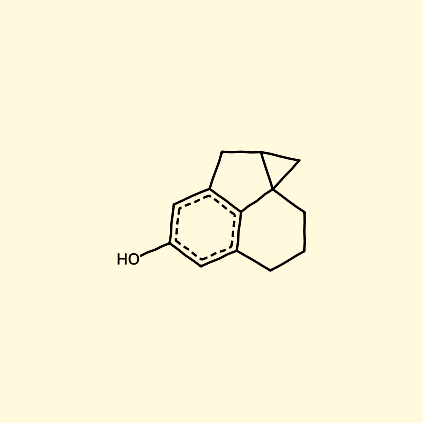 Oc1cc2c3c(c1)CC1CC31CCC2